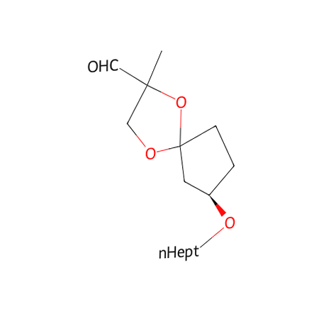 CCCCCCCO[C@@H]1CCC2(C1)OCC(C)(C=O)O2